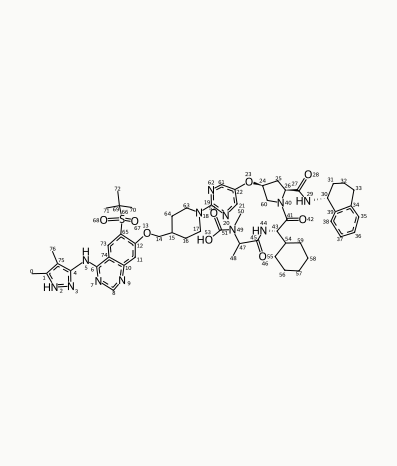 Cc1[nH]nc(Nc2ncnc3cc(OCC4CCN(c5ncc(O[C@H]6C[C@@H](C(=O)N[C@@H]7CCCc8ccccc87)N(C(=O)[C@@H](NC(=O)C(C)N(C)C(=O)O)C7CCCCC7)C6)cn5)CC4)c(S(=O)(=O)C(C)(C)C)cc23)c1C